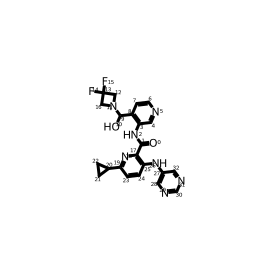 O=C(Nc1cnccc1C(O)N1CC(F)(F)C1)c1nc(C2CC2)ccc1Nc1cncnc1